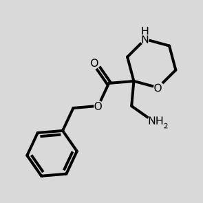 NCC1(C(=O)OCc2ccccc2)CNCCO1